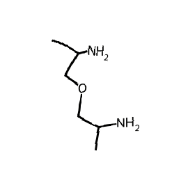 CC(N)COCC(C)N